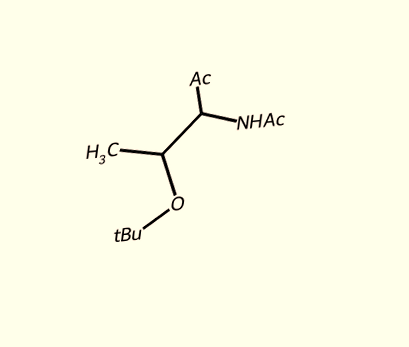 CC(=O)NC(C(C)=O)C(C)OC(C)(C)C